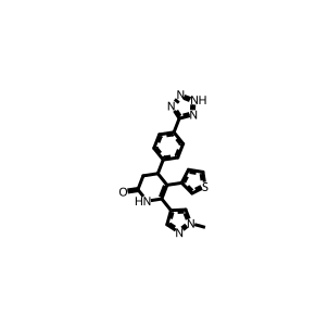 Cn1cc(C2=C(c3ccsc3)C(c3ccc(-c4nn[nH]n4)cc3)CC(=O)N2)cn1